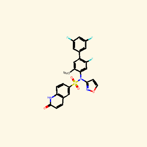 COc1cc(-c2cc(F)cc(F)c2)c(F)cc1N(c1ccon1)S(=O)(=O)c1ccc2[nH]c(=O)ccc2c1